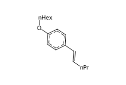 [CH2]CCC=Cc1ccc(OCCCCCC)cc1